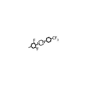 Cc1cc(F)c(N2CCN(c3ccc(C(F)(F)F)cc3)CC2)c(F)c1